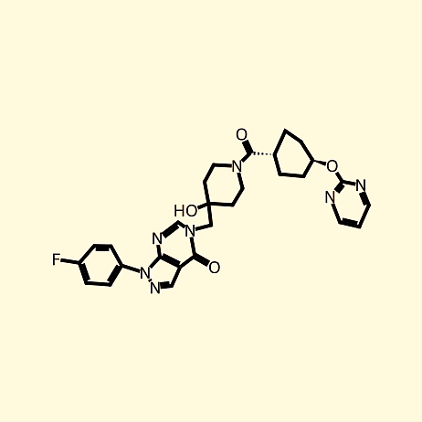 O=c1c2cnn(-c3ccc(F)cc3)c2ncn1CC1(O)CCN(C(=O)[C@H]2CC[C@H](Oc3ncccn3)CC2)CC1